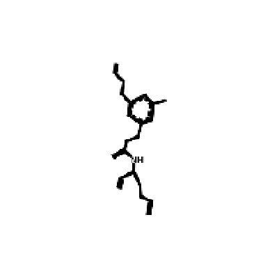 C=CCCc1cc(C)cc(CCC(=C)NC(C=C)CCC=C)c1